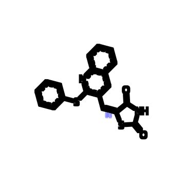 O=C1NC(=O)/C(=C\c2cc3ccccc3nc2Sc2ccccc2)S1